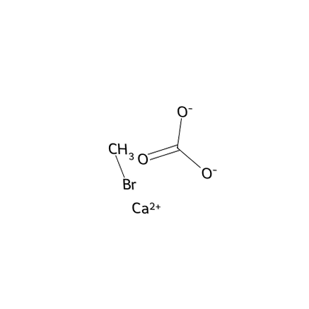 CBr.O=C([O-])[O-].[Ca+2]